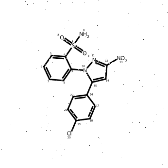 NS(=O)(=O)c1ccccc1-n1nc([N+](=O)[O-])cc1-c1ccc(Cl)cc1